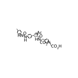 CC(=O)N1CC(c2ccc(NC(=O)Nc3ccc(C)cc3)cc2)CC1C(=O)NC(Cc1ccc(CCC(=O)O)cc1)C(=O)O